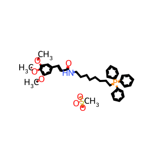 COc1cc(C=CC(=O)NCCCCCCCC[P+](c2ccccc2)(c2ccccc2)c2ccccc2)cc(OC)c1OC.CS(=O)(=O)[O-]